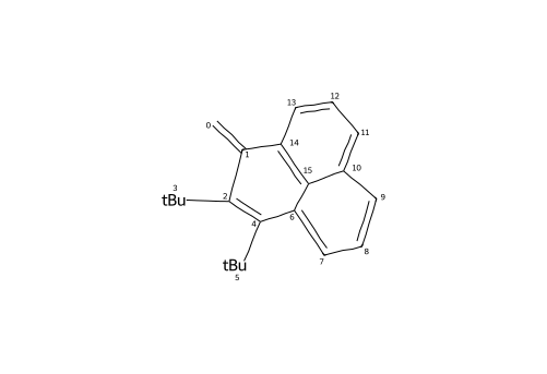 C=c1c(C(C)(C)C)c(C(C)(C)C)c2cccc3cccc1c32